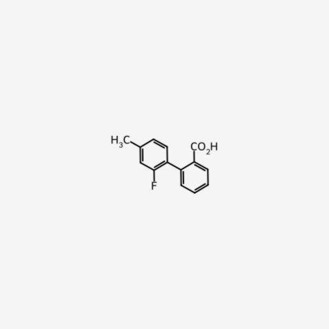 Cc1ccc(-c2ccccc2C(=O)O)c(F)c1